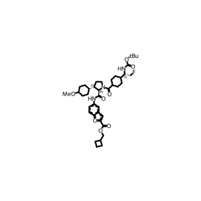 COC1CCC([C@@H]2CCN(C(=O)C3CCC([C@@H](CF)NC(=O)OC(C)(C)C)CC3)[C@H]2C(=O)Nc2ccc3oc(C(=O)OCC4CCC4)cc3c2)CC1